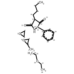 C1CO1.CC1CO1.CCCCC1C(=O)NN(c2ccccc2)C1=O.CCOCC